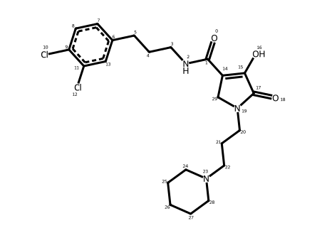 O=C(NCCCc1ccc(Cl)c(Cl)c1)C1=C(O)C(=O)N(CCCN2CCCCC2)C1